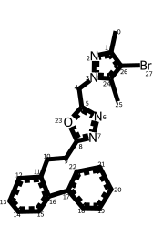 Cc1nn(Cc2nnc(CCc3ccccc3-c3ccccc3)o2)c(C)c1Br